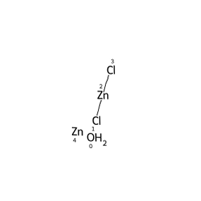 O.[Cl][Zn][Cl].[Zn]